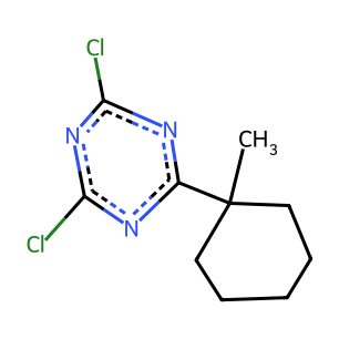 CC1(c2nc(Cl)nc(Cl)n2)CCCCC1